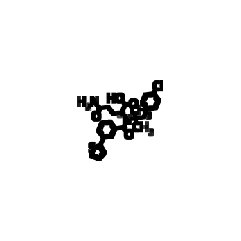 CC(C)(Cc1ccc(Cl)cc1)N(C(=O)c1cccc(-c2cccs2)c1)[C@@H](CCC(N)=O)C(=O)O